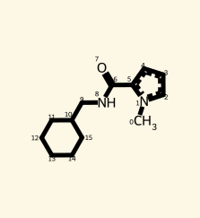 Cn1cccc1C(=O)NCC1CCCCC1